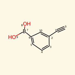 C#Cc1cccc(B(O)O)c1